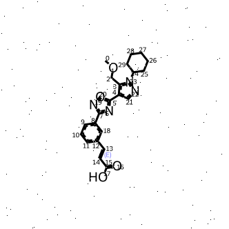 COCc1c(-c2nc(-c3cccc(/C=C/C(=O)O)c3)no2)cnn1C1CCCCC1